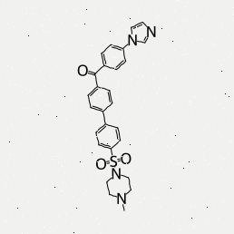 CN1CCN(S(=O)(=O)c2ccc(-c3ccc(C(=O)c4ccc(-n5ccnc5)cc4)cc3)cc2)CC1